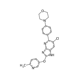 Cc1ccc(Oc2nc3nc(-c4ccc(N5CCOCC5)cc4)c(Cl)cc3[nH]2)cn1